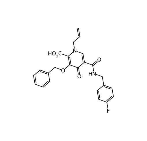 C=CCn1cc(C(=O)NCc2ccc(F)cc2)c(=O)c(OCc2ccccc2)c1C(=O)O